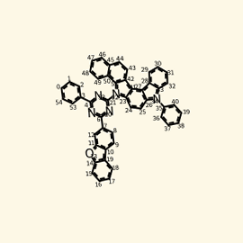 c1ccc(-c2nc(-c3ccc4c(c3)oc3ccccc34)nc(-n3c4ccc5c(c6ccccc6n5-c5ccccc5)c4c4ccc5ccccc5c43)n2)cc1